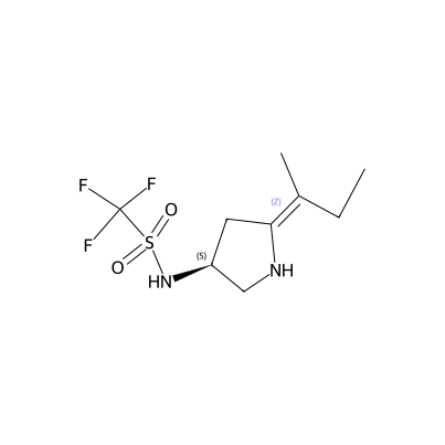 CC/C(C)=C1/C[C@H](NS(=O)(=O)C(F)(F)F)CN1